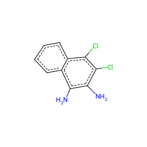 Nc1c(Cl)c(Cl)c2ccccc2c1N